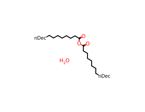 CCCCCCCCCCCCCCCCCC(=O)OC(=O)CCCCCCCCCCCCCCCCC.O